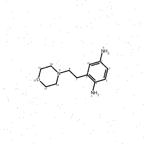 Nc1ccc(N)c(CCN2CCOCC2)c1